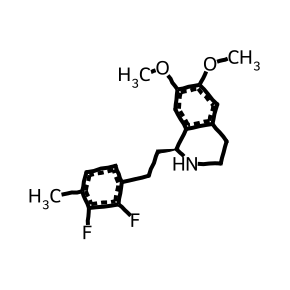 COc1cc2c(cc1OC)[C@H](CCc1ccc(C)c(F)c1F)NCC2